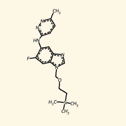 Cc1ccc(Nc2cc3ncn(COCC[Si](C)(C)C)c3cc2F)nn1